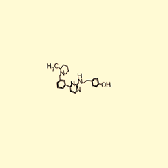 CC1CCCCN1Cc1cccc(-c2ccnc(NCCc3ccc(O)cc3)n2)c1